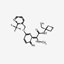 CN/C(C(=O)NC1(CO)CCC1)=C1/C=C(OCc2cccnc2C(F)(F)F)C=CC1=N